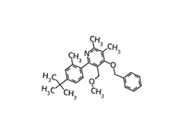 COCc1c(-c2ccc(C(C)(C)C)cc2C)nc(C)c(C)c1OCc1ccccc1